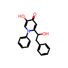 O=c1cc(C(O)Cc2ccccc2)n(-c2ccccc2)cc1O